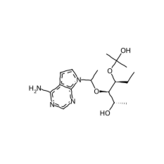 CC[C@H](OC(C)(C)O)[C@H](OC(C)n1ccc2c(N)ncnc21)[C@H](C)O